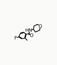 Cc1cc(F)ccc1C(=O)NC1CCOCC1